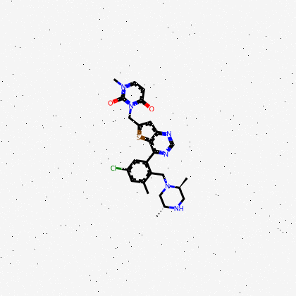 Cc1cc(Cl)cc(-c2ncnc3cc(Cn4c(=O)ccn(C)c4=O)sc23)c1CN1C[C@@H](C)NC[C@@H]1C